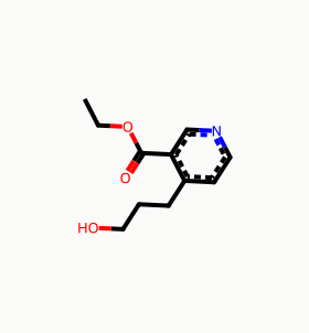 CCOC(=O)c1cnccc1CCCO